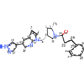 C[C@H]1C[C@@H](Cn2ccc3cc(-c4cn[nH]c4)cnc32)CN1C(=O)CCc1ccccc1